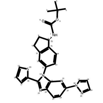 CC(C)(C)OC(=O)N[C@H]1CCc2cc(-n3c(-c4cccs4)nc4ccc(-n5cccn5)nc43)ccc21